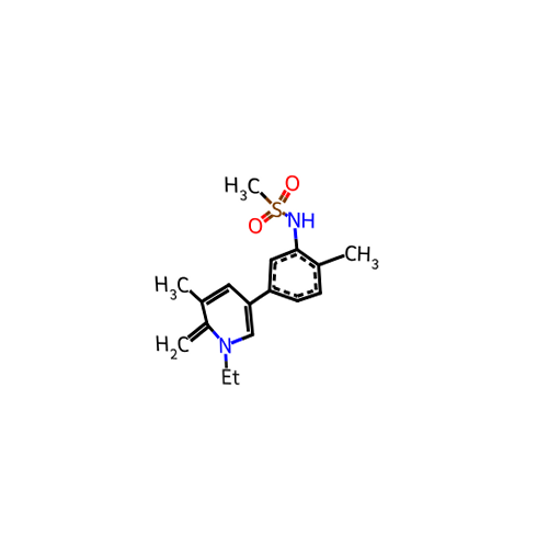 C=C1C(C)=CC(c2ccc(C)c(NS(C)(=O)=O)c2)=CN1CC